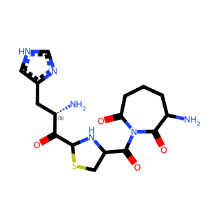 NC1CCCC(=O)N(C(=O)C2CSC(C(=O)[C@@H](N)Cc3c[nH]cn3)N2)C1=O